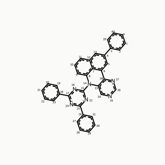 c1ccc(-c2cc3c4c(cccc4c2)N(c2nc(-c4ccccc4)nc(-c4ccccc4)n2)c2cncnc2-3)cc1